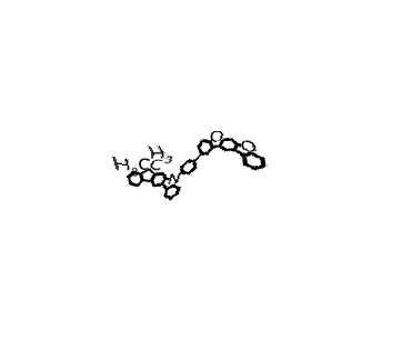 CC1(C)c2ccccc2-c2cc3c4ccccc4n(-c4ccc(-c5ccc6oc7cc8oc9ccccc9c8cc7c6c5)cc4)c3cc21